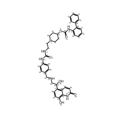 O=C(NCCN1CCC(OC(=O)Nc2ccccc2-c2ccccc2)CC1)Nc1ccc(CNC[C@@H](O)c2ccc(O)c3[nH]c(=O)ccc23)cc1